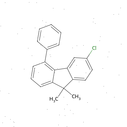 CC1(C)c2ccc(Cl)cc2-c2c(-c3ccccc3)cccc21